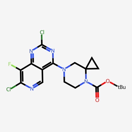 CC(C)(C)OC(=O)N1CCN(c2nc(Cl)nc3c(F)c(Cl)ncc23)CC12CC2